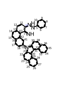 N=C1/C(=N\Nc2ccccc2)C=Cc2ccc3ccc(-n4c5ccc6ccccc6c5c5c6ccccc6ccc54)cc3c21